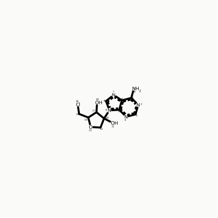 Nc1ncnc2c1ncn2C1(O)COC(CCl)C1O